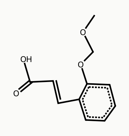 COCOc1ccccc1/C=C/C(=O)O